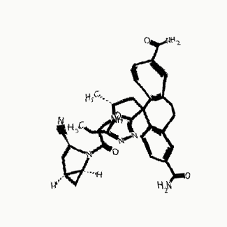 CCc1nnc(C2(C[C@@H](C)NCC(=O)N3[C@H](C#N)C[C@@H]4C[C@@H]43)c3ccc(C(N)=O)cc3CCc3cc(C(N)=O)ccc32)o1